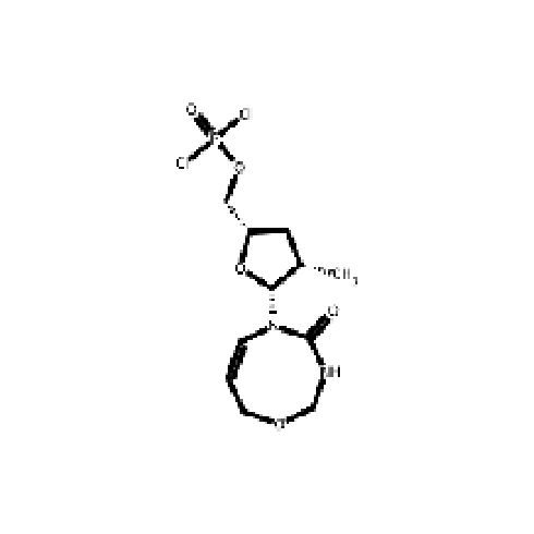 C[C@H]1C[C@@H](COP(=O)(Cl)Cl)O[C@H]1N1/C=C\COCNC1=O